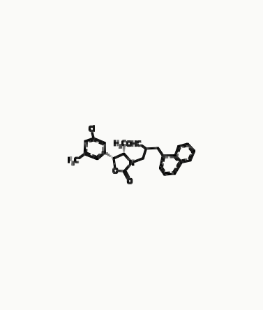 C[C@H]1[C@@H](c2cc(Cl)cc(C(F)(F)F)c2)OC(=O)N1CC(C=O)Cc1cccc2ccccc12